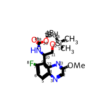 COc1cnc2ccc(F)c(C(CO[Si](C)(C)C(C)(C)C)NC(=O)OC(C)(C)C)c2n1